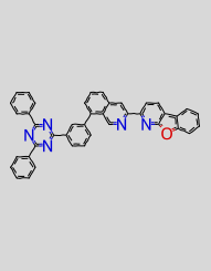 c1ccc(-c2nc(-c3ccccc3)nc(-c3cccc(-c4cccc5cc(-c6ccc7c(n6)oc6ccccc67)ncc45)c3)n2)cc1